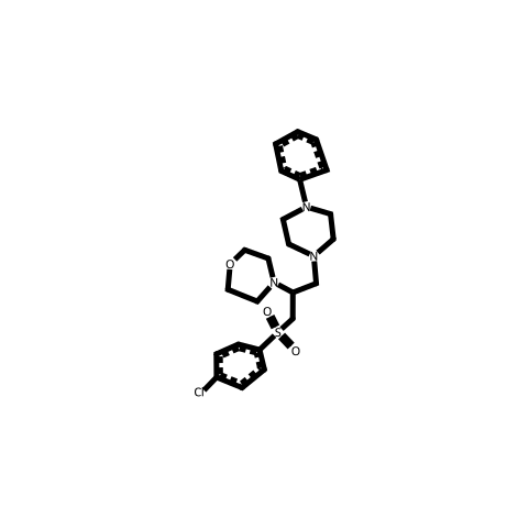 O=S(=O)(CC(CN1CCN(c2ccccc2)CC1)N1CCOCC1)c1ccc(Cl)cc1